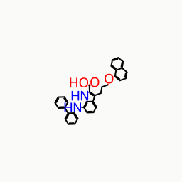 O=C(O)c1[nH]c2c(Nc3ccccc3-c3ccccc3)cccc2c1CCCOc1cccc2ccccc12